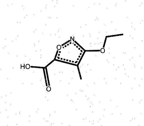 CCOc1noc(C(=O)O)c1C